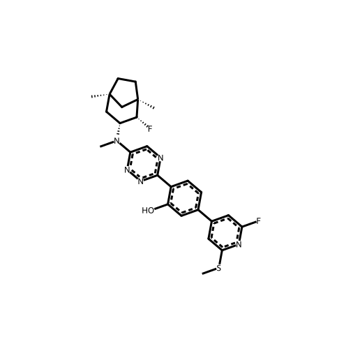 CSc1cc(-c2ccc(-c3ncc(N(C)[C@@H]4C[C@@]5(C)CC[C@](C)(C5)[C@@H]4F)nn3)c(O)c2)cc(F)n1